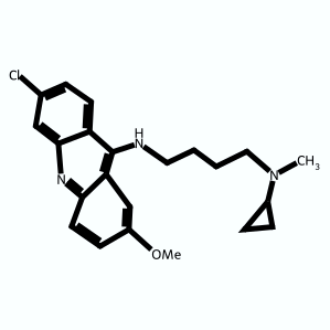 COc1ccc2nc3cc(Cl)ccc3c(NCCCCN(C)C3CC3)c2c1